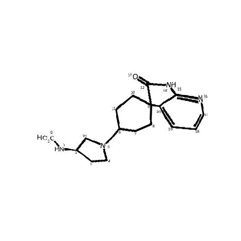 O=C(O)N[C@@H]1CCN(C2CCC3(CC2)C(=O)Nc2ncccc23)C1